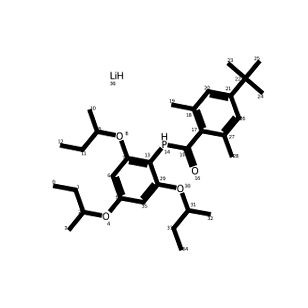 CCC(C)Oc1cc(OC(C)CC)c(PC(=O)c2c(C)cc(C(C)(C)C)cc2C)c(OC(C)CC)c1.[LiH]